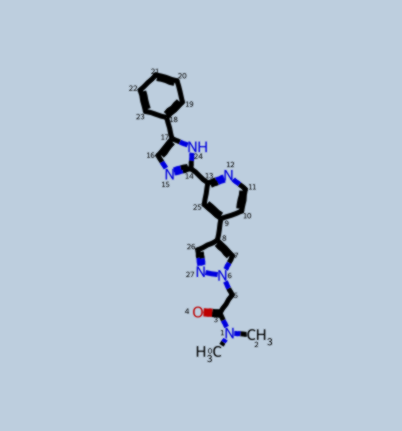 CN(C)C(=O)Cn1cc(-c2ccnc(-c3ncc(-c4ccccc4)[nH]3)c2)cn1